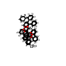 CC(C)(C)c1ccc2c(c1)C1(c3ccccc3-c3ccc(N(c4ccccc4-c4ccccc4C4C=CC=CC4C4C=CC=CC4)c4ccccc4-c4cccc5cccc(-c6ccccc6)c45)cc31)c1cc(C(C)(C)C)ccc1-2